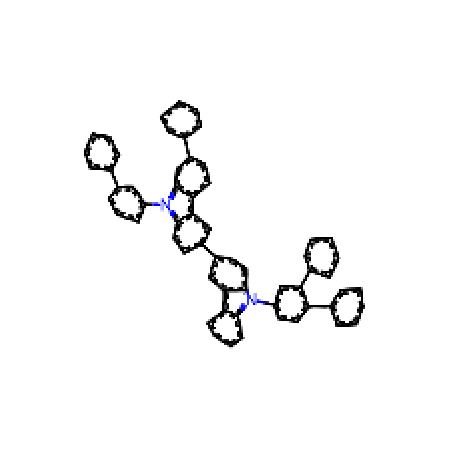 c1ccc(-c2cccc(-n3c4ccc(-c5ccc6c(c5)c5ccccc5n6-c5ccc(-c6ccccc6)c(-c6ccccc6)c5)cc4c4ccc(-c5ccccc5)cc43)c2)cc1